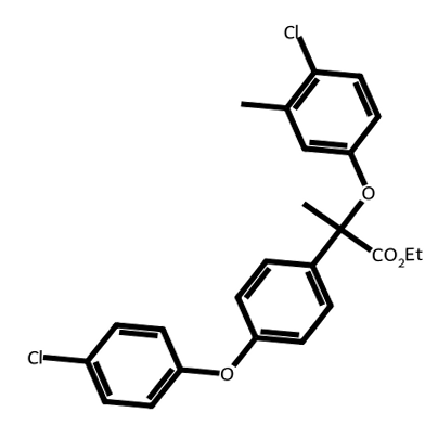 CCOC(=O)C(C)(Oc1ccc(Cl)c(C)c1)c1ccc(Oc2ccc(Cl)cc2)cc1